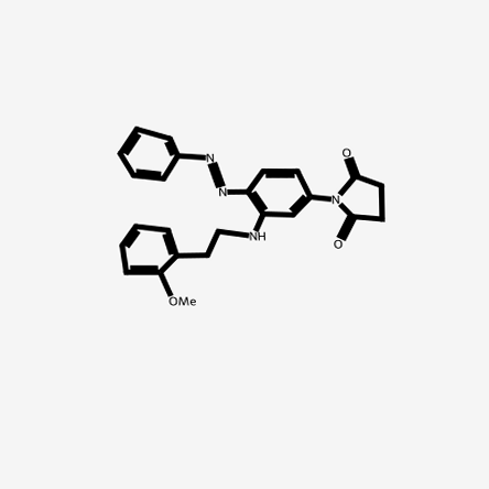 COc1ccccc1CCNc1cc(N2C(=O)CCC2=O)ccc1N=Nc1ccccc1